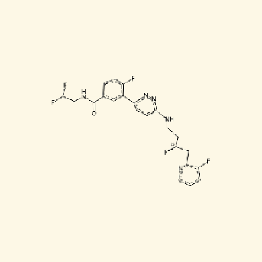 O=C(NCC(F)F)c1ccc(F)c(-c2ccc(NCC[C@H](F)Cc3ncccc3F)nn2)c1